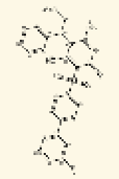 CCCCc1nc(=O)c(S(=O)(=O)c2ccc(-c3cncc(F)c3)cc2)c(O)n1C(COC)c1ccccc1